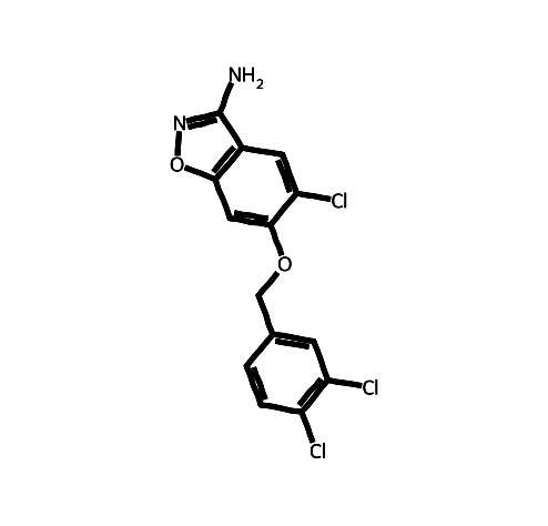 Nc1noc2cc(OCc3ccc(Cl)c(Cl)c3)c(Cl)cc12